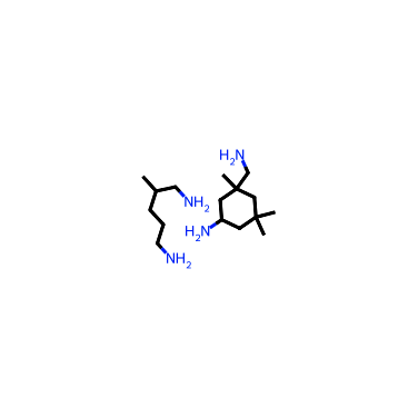 CC(CN)CCCN.CC1(C)CC(N)CC(C)(CN)C1